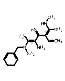 C=C/C(C(=N)/C(N)=C(\C)N(N)CC1=CCCC=C1)=C(\N)NC